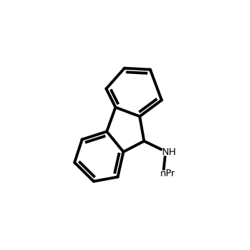 CCCNC1c2ccccc2-c2ccccc21